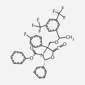 CC(OC[C@@]1(c2ccc(F)cc2)C(=C=O)O[C@H](c2ccccc2)N1C(=O)Oc1ccccc1)c1cc(C(F)(F)F)cc(C(F)(F)F)c1